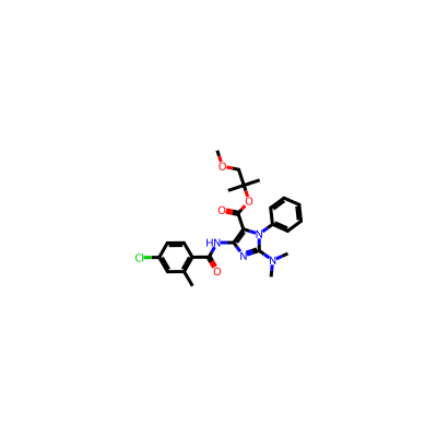 COCC(C)(C)OC(=O)c1c(NC(=O)c2ccc(Cl)cc2C)nc(N(C)C)n1-c1ccccc1